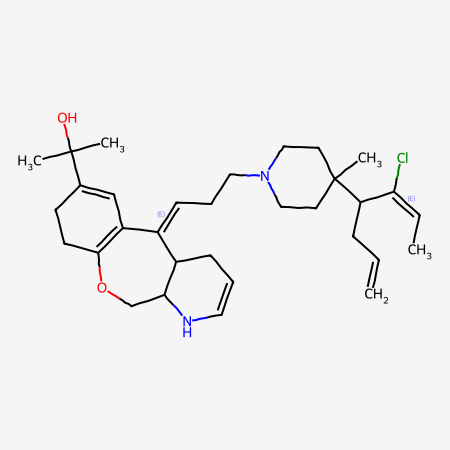 C=CCC(/C(Cl)=C\C)C1(C)CCN(CC/C=C2/C3=C(CCC(C(C)(C)O)=C3)OCC3NC=CCC23)CC1